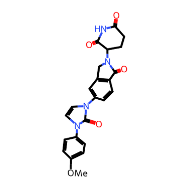 COc1ccc(-n2ccn(-c3ccc4c(c3)CN(C3CCC(=O)NC3=O)C4=O)c2=O)cc1